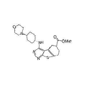 COC(=O)C1CCc2sc3ncnc(N[C@H]4CC[C@H](N5CCOCC5)CC4)c3c2C1